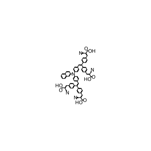 N#C/C(=C\c1ccc(C(=Cc2ccc(N(c3ccc(C=C(c4ccc(/C=C(\C#N)C(=O)O)cc4)c4ccc(/C=C(\C#N)C(=O)O)cc4)cc3)c3ccc4ccccc4c3)cc2)c2ccc(/C=C(\C#N)C(=O)O)cc2)cc1)C(=O)O